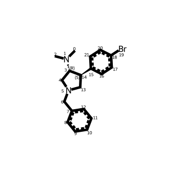 CN(C)[C@H]1CN(Cc2ccccc2)C[C@@H]1c1ccc(Br)cc1